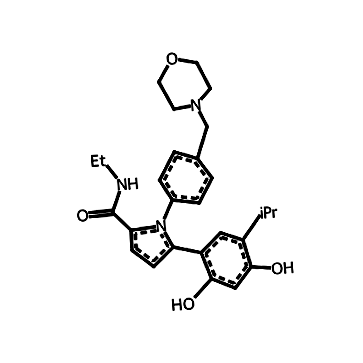 CCNC(=O)c1ccc(-c2cc(C(C)C)c(O)cc2O)n1-c1ccc(CN2CCOCC2)cc1